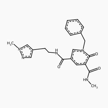 CNC(=O)c1cc(C(=O)NCCc2cnn(C)c2)cn(Cc2ccccc2)c1=O